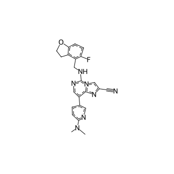 CN(C)c1ccc(-c2cnc(NCc3c(F)ccc4c3CCO4)n3cc(C#N)nc23)cn1